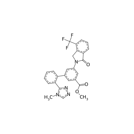 COC(=O)c1cc(-c2ccccc2-c2nncn2C)cc(N2Cc3c(cccc3C(F)(F)F)C2=O)c1